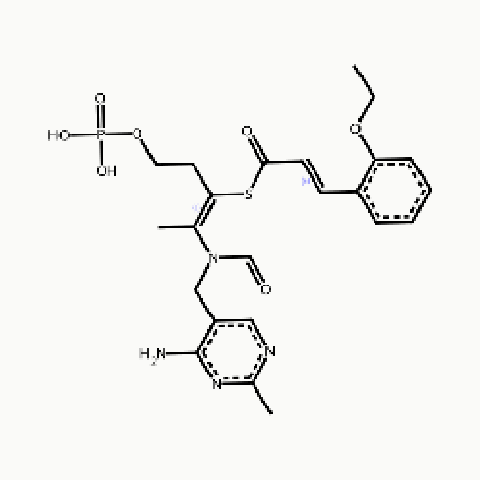 CCOc1ccccc1/C=C/C(=O)S/C(CCOP(=O)(O)O)=C(/C)N(C=O)Cc1cnc(C)nc1N